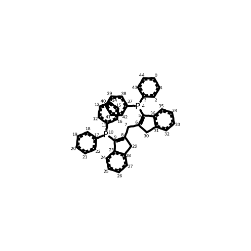 c1ccc(P(C2=C(CC3=C(P(c4ccccc4)c4ccccc4)c4ccccc4C3)Cc3ccccc32)c2ccccc2)cc1